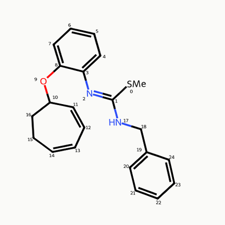 CS/C(=N\c1ccccc1OC1C=CC=CCC1)NCc1ccccc1